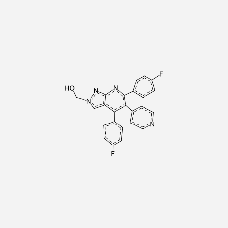 OCn1cc2c(-c3ccc(F)cc3)c(-c3ccncc3)c(-c3ccc(F)cc3)nc2n1